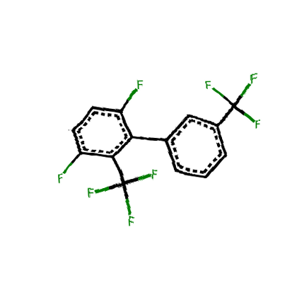 Fc1[c]cc(F)c(-c2cccc(C(F)(F)F)c2)c1C(F)(F)F